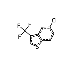 FC(F)(F)c1csc2ccc(Cl)cc12